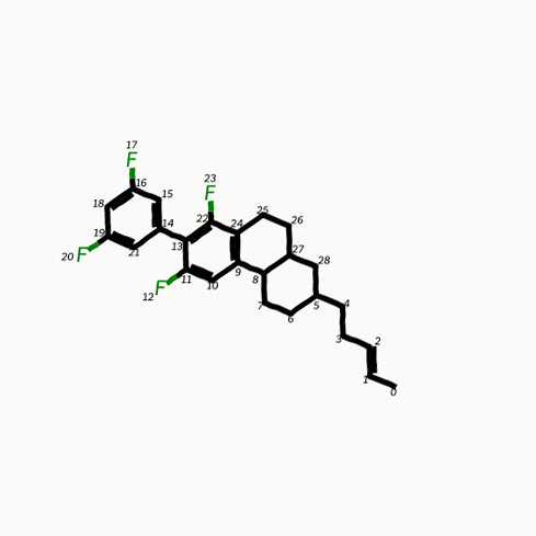 CC=CCCC1CCC2c3cc(F)c(-c4cc(F)cc(F)c4)c(F)c3CCC2C1